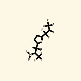 FC(C(F)(F)F)C(F)(F)C1CCC(C(F)(F)C(N(F)F)C(F)(F)F)O1